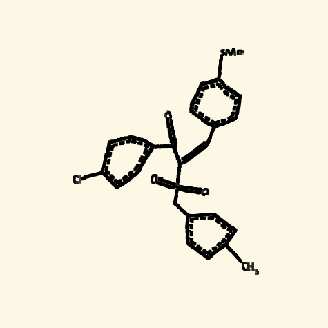 CSc1ccc(/C=C(\C(=O)c2ccc(Cl)cc2)S(=O)(=O)Cc2ccc(C)cc2)cc1